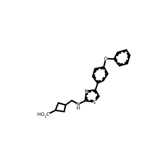 O=C(O)C1CC(CNc2nc(-c3ccc(Oc4ccccc4)cc3)cs2)C1